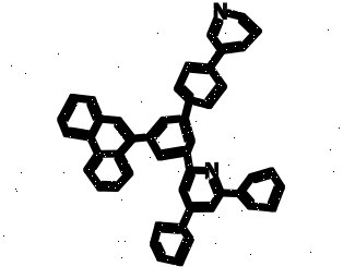 c1ccc(-c2cc(-c3ccccc3)nc(-c3cc(-c4ccc(-c5cccnc5)cc4)cc(-c4cc5ccccc5c5ccccc45)c3)c2)cc1